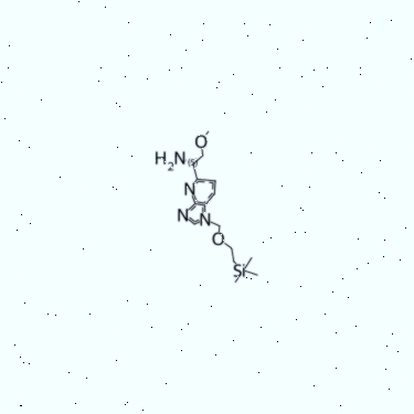 COC[C@@H](N)c1ccc2c(ncn2COCC[Si](C)(C)C)n1